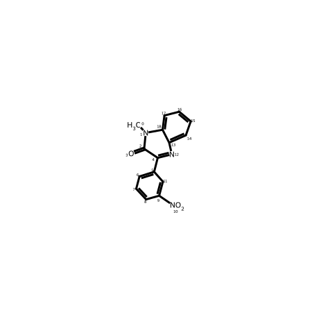 Cn1c(=O)c(-c2cccc([N+](=O)[O-])c2)nc2ccccc21